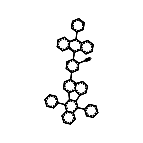 N#Cc1cc(-c2ccc3c4c(cccc24)-c2c-3c(-c3ccccc3)c3ccccc3c2-c2ccccc2)ccc1-c1c2ccccc2c(-c2ccccc2)c2ccccc12